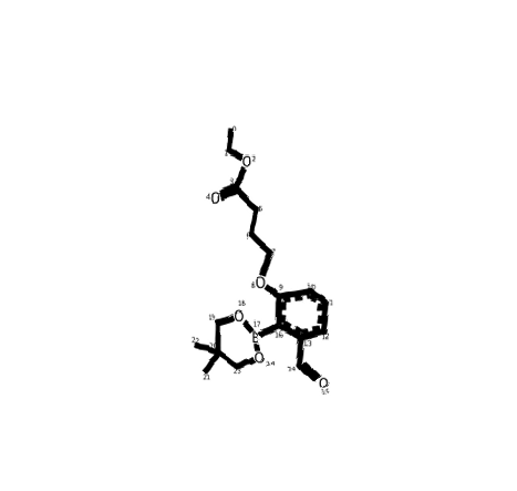 CCOC(=O)CCCOc1cccc(C=O)c1B1OCC(C)(C)CO1